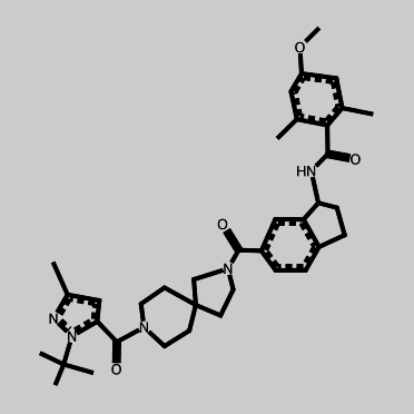 COc1cc(C)c(C(=O)NC2CCc3ccc(C(=O)N4CCC5(CCN(C(=O)c6cc(C)nn6C(C)(C)C)CC5)C4)cc32)c(C)c1